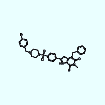 Cn1c(=O)c2[nH]c(-c3ccc(S(=O)(=O)N4CCN(Cc5ccc(Br)cc5)CC4)cc3)cc2n(Cc2ccccc2)c1=O